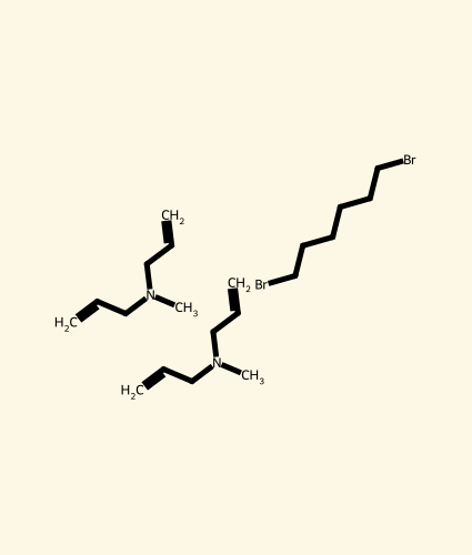 BrCCCCCCBr.C=CCN(C)CC=C.C=CCN(C)CC=C